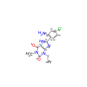 CC(C)Cn1c(=O)n(C)c(=O)c2[nH]c(-c3ccc(Cl)cc3N)nc21